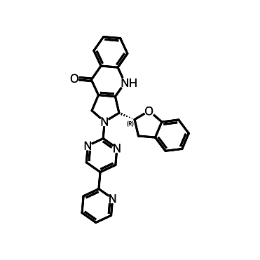 O=c1c2c([nH]c3ccccc13)C([C@H]1Cc3ccccc3O1)N(c1ncc(-c3ccccn3)cn1)C2